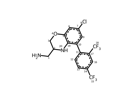 NCC1COc2cc(Cl)cc(-c3ccc(C(F)(F)F)cc3C(F)(F)F)c2N1